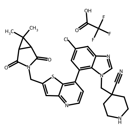 CC1(C)C2C(=O)N(Cc3cc4nccc(-c5cc(Cl)cc6ncn(CC7(C#N)CCNCC7)c56)c4s3)C(=O)C21.O=C(O)C(F)(F)F